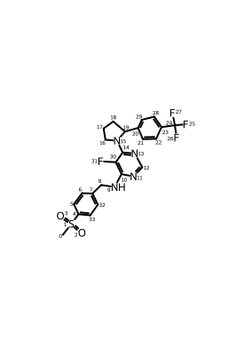 CS(=O)(=O)c1ccc(CNc2ncnc(N3CCCC3c3ccc(C(F)(F)F)cc3)c2F)cc1